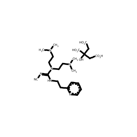 CN(C)CCN(CCN(C)C)/C(=N/C#N)NCCc1ccccn1.O=C(O)CC(O)(CC(=O)O)C(=O)O